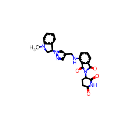 CN1CC(n2cc(CNc3cccc4c3C(=O)N(C3CCC(=O)NC3=O)C4=O)cn2)c2ccccc21